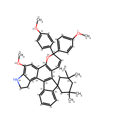 COc1ccc(C2(c3ccc(OC)cc3)C=Cc3c4c(c5c6c(c(OC)cc5c3O2)NCC6)-c2ccccc2C42CC(C)(C)CC(C)(C)C2)cc1